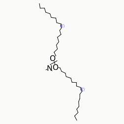 CCCCCCCC/C=C\CCCCCCCCOC(C)(CN(C)C)OCCCCCCCC/C=C\CCCCCCCC